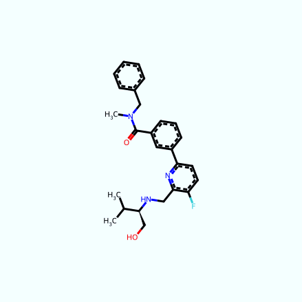 CC(C)[C@H](CO)NCc1nc(-c2cccc(C(=O)N(C)Cc3ccccc3)c2)ccc1F